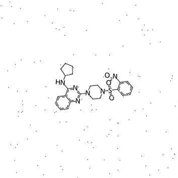 O=[N+]([O-])c1ccccc1S(=O)(=O)N1CCN(c2nc(NC3CCCC3)c3ccccc3n2)CC1